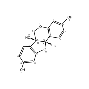 Oc1ccc2c(c1)OC[C@@]1(O)c3ccc(O)cc3O[C@@H]21